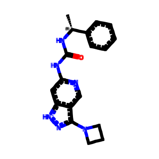 C[C@@H](NC(=O)Nc1cc2[nH]nc(N3CCC3)c2cn1)c1ccccc1